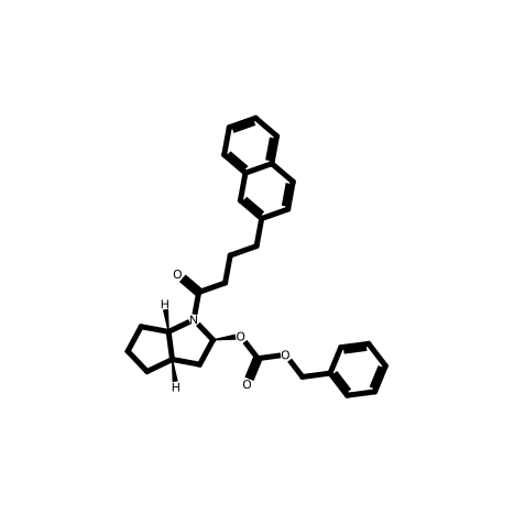 O=C(OCc1ccccc1)O[C@H]1C[C@@H]2CCC[C@@H]2N1C(=O)CCCc1ccc2ccccc2c1